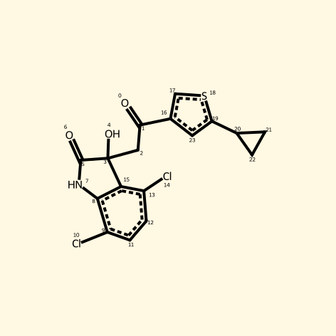 O=C(CC1(O)C(=O)Nc2c(Cl)ccc(Cl)c21)c1csc(C2CC2)c1